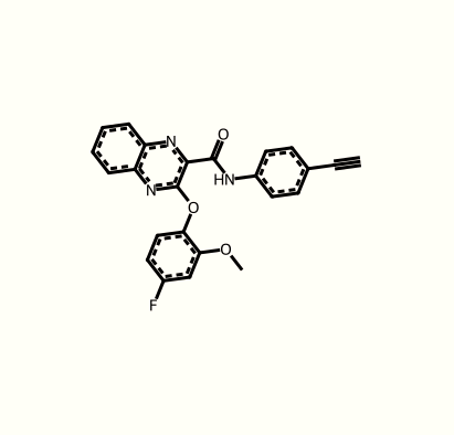 C#Cc1ccc(NC(=O)c2nc3ccccc3nc2Oc2ccc(F)cc2OC)cc1